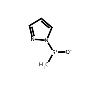 C[S+]([O-])n1cccn1